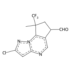 CC1(C(F)(F)F)CC(C=O)c2cnc3cc(Cl)nn3c21